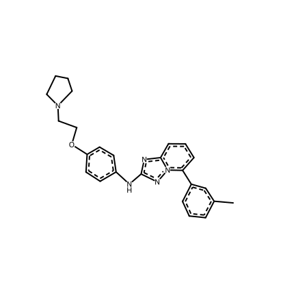 Cc1cccc(-c2cccc3nc(Nc4ccc(OCCN5CCCC5)cc4)nn23)c1